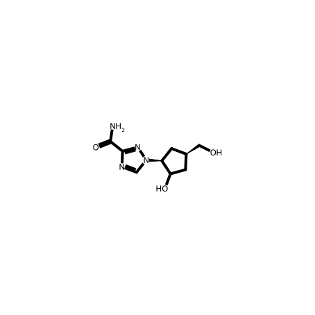 NC(=O)c1ncn([C@H]2C[C@@H](CO)CC2O)n1